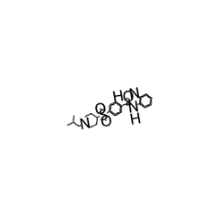 CC(C)CN1CCC(S(=O)(=O)c2ccc(C(=O)Nc3ccccc3N)cc2)CC1